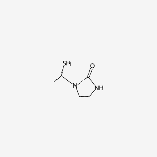 CC(S)N1CCNC1=O